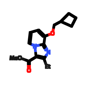 CCc1nc2c(OCC3CCC3)cccn2c1C(=O)OC